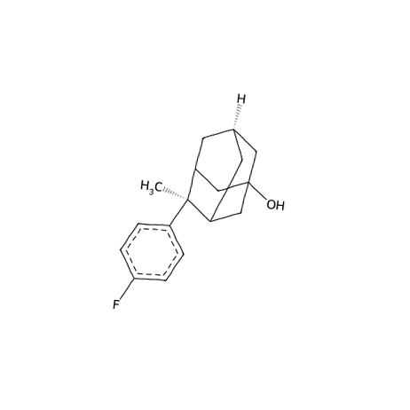 C[C@]1(c2ccc(F)cc2)C2CC3(O)CC1C[C@@H](C2)C3